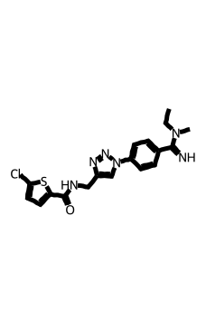 CCN(C)C(=N)c1ccc(-n2cc(CNC(=O)c3ccc(Cl)s3)nn2)cc1